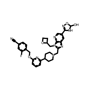 N#Cc1ccc(COc2cccc(C3CCN(Cc4nc5cc(C6=NOC(O)N6)cnc5n4CC4CCO4)CC3)n2)c(F)c1